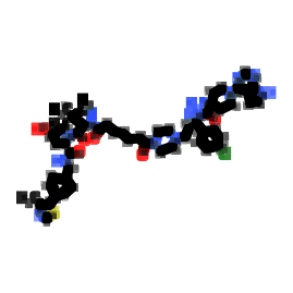 Cc1ncsc1-c1ccc(CNC(=O)[C@@H]2C[C@@H](O)CN2C(=O)[C@@H](NC(=O)CCCCCC(=O)N2CCN(CC[C@H](NC(=O)C3(N)CCN(c4ncnc5[nH]ccc45)CC3)c3ccc(Cl)cc3)CC2)C(C)(C)C)cc1